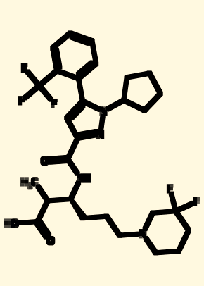 CC(C(=O)O)[C@H](CCCN1CCCC(F)(F)C1)NC(=O)c1cc(-c2ccccc2C(F)(F)F)n(C2CCCC2)n1